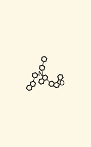 c1ccc(-c2ccc(N(c3cccc(-c4ccc5ccccc5c4)c3)c3ccc(-c4ccc5ccc6oc7ccccc7c6c5c4)c4ccccc34)cc2)cc1